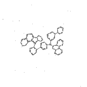 c1ccc(-c2cccc(N(c3ccc(-c4ccccc4-n4c5ccccc5c5ccc6ccccc6c54)cc3)c3cc4ccccc4c4ccccc34)c2)cc1